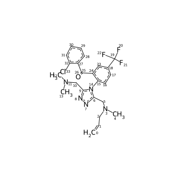 C=CCN(C)Cc1nnc(CN(C)C)n1-c1ccc(C(F)(F)F)cc1C(=O)c1ccccc1Cl